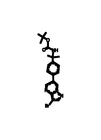 CC(C)(C)OC(=O)NC(C)(C)c1ccc(-c2cnc3c(Br)cnn3c2)cc1